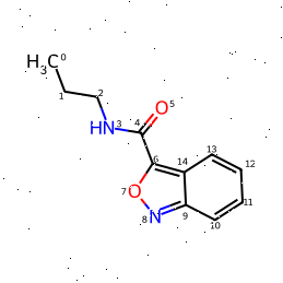 CCCNC(=O)c1onc2ccccc12